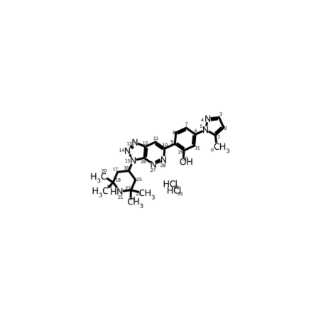 Cc1ccnn1-c1ccc(-c2cc3nnn(C4CC(C)(C)NC(C)(C)C4)c3nn2)c(O)c1.Cl.Cl